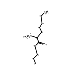 CCCOC(=O)C(N)CCCCN.Cl